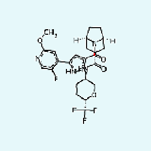 COc1cc(-c2cc(C(=O)N3[C@@H]4CC[C@H]3C[C@H](C(=O)N[C@@H]3CC[C@@H](C(F)(F)F)OC3)C4)n[nH]2)c(F)cn1